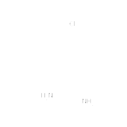 Nc1ccc2c(Cl)cccc2c1N